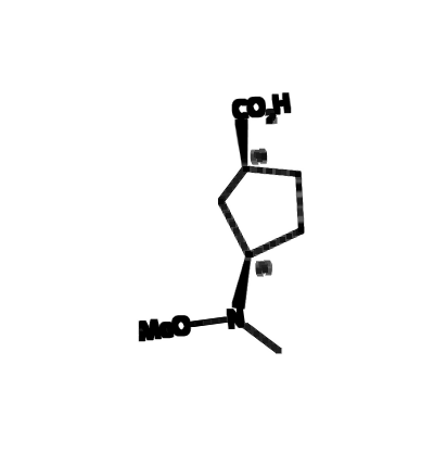 CON(C)[C@@H]1CC[C@H](C(=O)O)C1